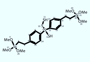 CO[Si](CCc1ccc(S(S)(SS)c2ccc(CC[Si](OC)(OC)OC)cc2)cc1)(OC)OC